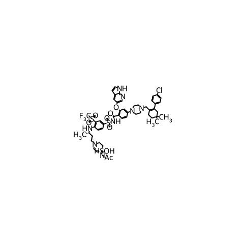 CC(=O)N=[SH]1(O)CCN(CC[C@H](C)Nc2ccc(S(=O)(=O)NC(=O)c3ccc(N4CCN(CC5=C(c6ccc(Cl)cc6)CC(C)(C)CC5)CC4)cc3Oc3cnc4[nH]ccc4c3)cc2S(=O)(=O)C(F)(F)F)CC1